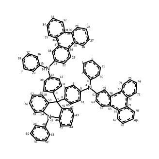 c1ccc(N(c2ccc(C3(c4ccc(N(c5ccccc5)c5ccc6c7ccccc7c7ccccc7c6c5)cc4)c4ccccc4N(c4ccccc4)c4ccccc43)cc2)c2ccc3c4ccccc4c4ccccc4c3c2)cc1